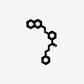 O=C(CCCc1ccccc1)c1cccc(OCc2ccc3ccccc3c2)c1